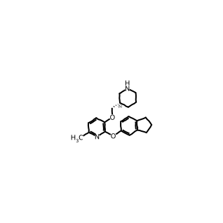 Cc1ccc(OC[C@H]2CCCNC2)c(Oc2ccc3c(c2)CCC3)n1